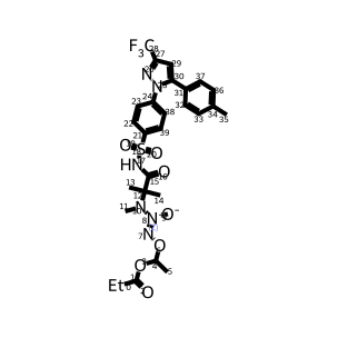 CCC(=O)OC(C)O/N=[N+](\[O-])N(C)C(C)(C)C(=O)NS(=O)(=O)c1ccc(-n2nc(C(F)(F)F)cc2-c2ccc(C)cc2)cc1